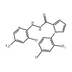 O=C(NNc1ncc(C(F)(F)F)cc1Cl)c1cccn1-c1ccc(Cl)cc1C(F)(F)F